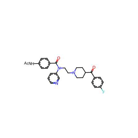 CC(=O)Nc1ccc(C(=O)N(CCN2CCC(C(=O)c3ccc(F)cc3)CC2)c2cccnc2)cc1